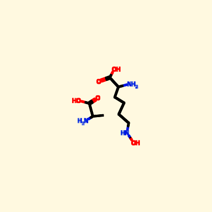 CC(N)C(=O)O.NC(CCCCNO)C(=O)O